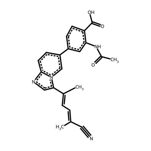 CC(=O)Nc1cc(-c2ccc3ncc(/C(C)=C/C=C(\C)C#N)n3c2)ccc1C(=O)O